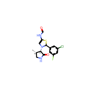 C[C@H]1CNC(=O)[C@H]1N1C=C(NC=O)SC1c1cc(F)cc(Cl)c1